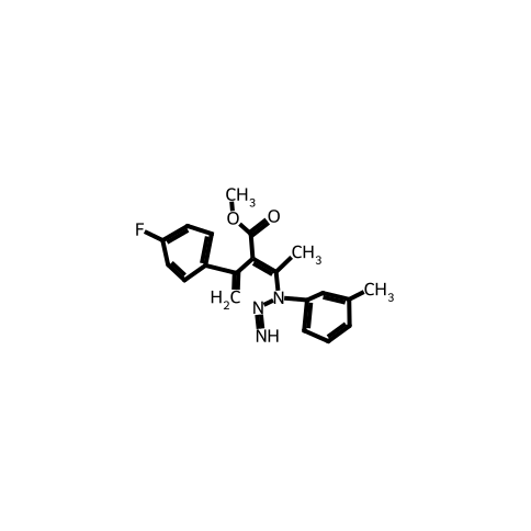 C=C(/C(C(=O)OC)=C(/C)N(N=N)c1cccc(C)c1)c1ccc(F)cc1